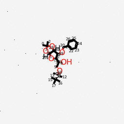 CC1(C)O[C@H]2O[C@H]([C@H](O)CO[Si](C)(C)C(C)(C)C)[C@@H](OCc3ccccc3)[C@H]2O1